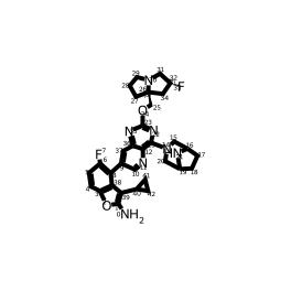 Nc1oc2ccc(F)c(-c3cnc4c(N5CC6CCC(C5)N6)nc(OC[C@@]56CCCN5C[C@H](F)C6)nc4c3)c2c1C1CC1